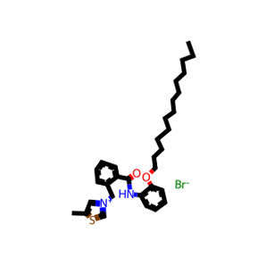 CCCCCCCCCCCCCCOc1ccccc1NC(=O)c1ccccc1C[n+]1csc(C)c1.[Br-]